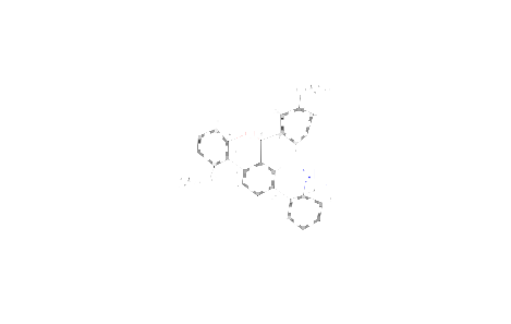 COc1cccc(C2Oc3cccc(OC)c3-c3ccc(-c4ccccc4N)cc32)c1